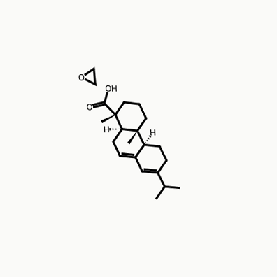 C1CO1.CC(C)C1=CC2=CC[C@@H]3[C@](C)(CCC[C@@]3(C)C(=O)O)[C@H]2CC1